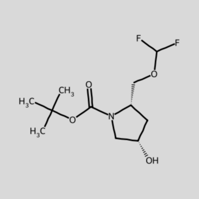 CC(C)(C)OC(=O)N1C[C@@H](O)C[C@H]1COC(F)F